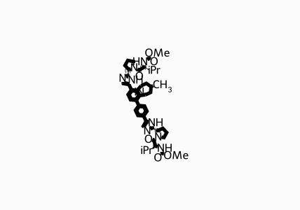 COC(=O)N[C@H](C(=O)N1CCC[C@H]1c1ncc(-c2ccc(-c3ccc(-c4cnc([C@@H]5CCCN5C(=O)[C@H](NC(=O)OC)C(C)C)[nH]4)c4c3C3CC(C)CC4N3)cc2)[nH]1)C(C)C